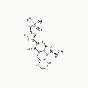 CC(C)NC1=CC(=O)N(C(CC2CCCCC2)C(=O)Nc2ccn(CC(C)(C)O)n2)C1